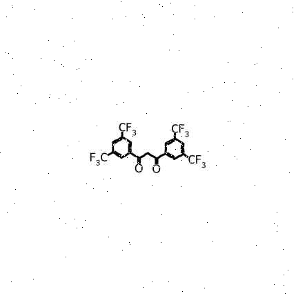 O=C(CC(=O)c1cc(C(F)(F)F)cc(C(F)(F)F)c1)c1cc(C(F)(F)F)cc(C(F)(F)F)c1